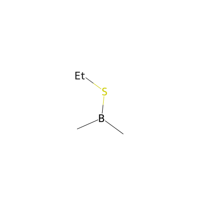 CCSB(C)C